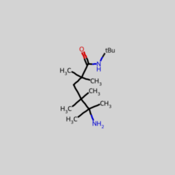 CC(C)(C)NC(=O)C(C)(C)CC(C)(C)C(C)(C)N